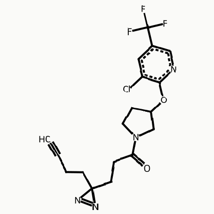 C#CCCC1(CCC(=O)N2CCC(Oc3ncc(C(F)(F)F)cc3Cl)C2)N=N1